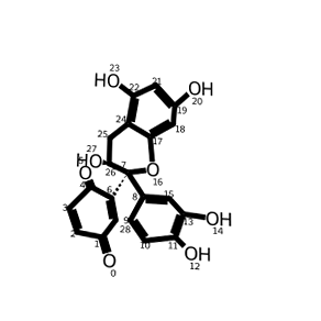 O=C1C=CC(=O)C([C@@]2(c3ccc(O)c(O)c3)Oc3cc(O)cc(O)c3C[C@@H]2O)=C1